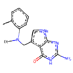 CCN(Cc1c[nH]c2nc(N)[nH]c(=O)c12)c1ccccc1C